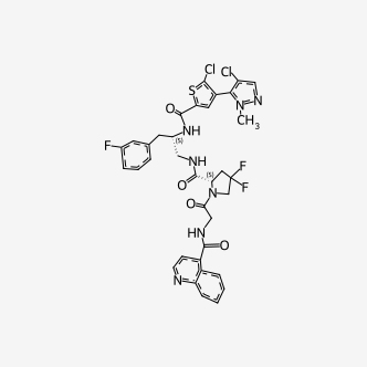 Cn1ncc(Cl)c1-c1cc(C(=O)N[C@H](CNC(=O)[C@@H]2CC(F)(F)CN2C(=O)CNC(=O)c2ccnc3ccccc23)Cc2cccc(F)c2)sc1Cl